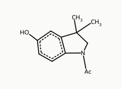 CC(=O)N1CC(C)(C)c2cc(O)ccc21